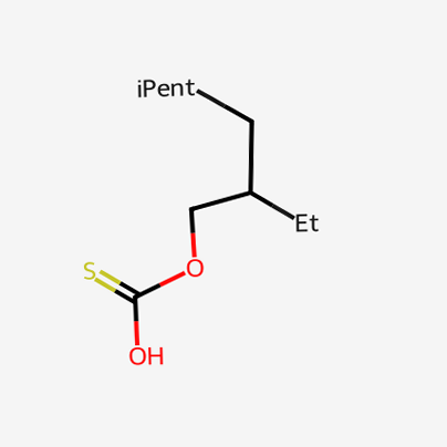 CCCC(C)CC(CC)COC(O)=S